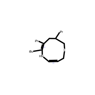 CCC(C)/C1=C(\C(C)C)CC(C(C)C)CCC/C=C\N1